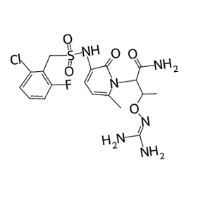 Cc1ccc(NS(=O)(=O)Cc2c(F)cccc2Cl)c(=O)n1C(C(N)=O)C(C)ON=C(N)N